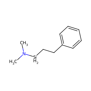 CN(C)[SiH2]CCc1ccccc1